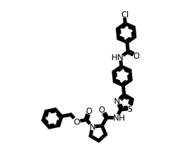 O=C(Nc1ccc(-c2csc(NC(=O)C3CCCN3C(=O)OCc3ccccc3)n2)cc1)c1ccc(Cl)cc1